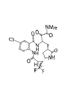 CNC(=O)C(=O)C(C[C@@H]1C[C@@H](C)NC1=O)NC(=O)c1cc(Cl)ccc1NC(=O)C1CC1(F)F